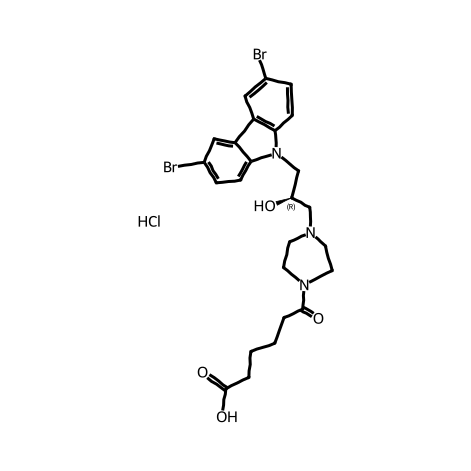 Cl.O=C(O)CCCCC(=O)N1CCN(C[C@@H](O)Cn2c3ccc(Br)cc3c3cc(Br)ccc32)CC1